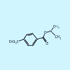 CCOC(=O)c1ccc(C(=O)ON(C)C)cc1